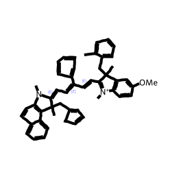 COc1ccc2c(c1)C(C)(Cc1ccccc1C)C(/C=C/C(=C/C=C1/N(C)c3ccc4ccccc4c3C1(C)CC1=CC=CC1)c1ccccc1)=[N+]2C